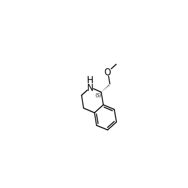 COC[C@H]1NCCc2ccccc21